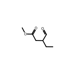 CCC(C=O)CC(=O)OC